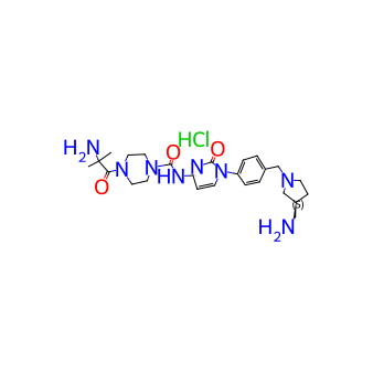 CC(C)(N)C(=O)N1CCN(C(=O)Nc2ccn(-c3ccc(CN4CC[C@@H](CN)C4)cc3)c(=O)n2)CC1.Cl